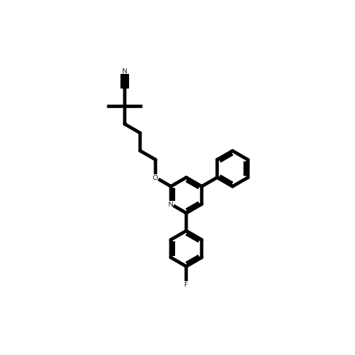 CC(C)(C#N)CCCCOc1cc(-c2ccccc2)cc(-c2ccc(F)cc2)n1